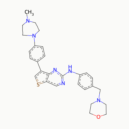 CN1CCN(c2ccc(-c3csc4cnc(Nc5ccc(CN6CCOCC6)cc5)nc34)cc2)CC1